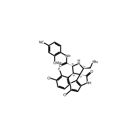 COc1cc(C#N)ccc1NC(=O)[C@@H]1N[C@@H](CC(C)(C)C)[C@]2(C(=O)Nc3cc(Cl)sc32)[C@H]1c1cccc(Cl)c1F